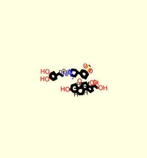 CCCN1CCC(c2cccc(S(C)(=O)=O)c2)CC1.C[C@]12CC[C@@H](O)C[C@H]1CC[C@@H]1[C@@H]2C(=O)C[C@@]2(C)[C@H]1CC[C@]2(O)C(=O)CO.NCCc1ccc(O)c(O)c1